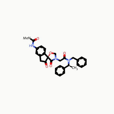 CNC(=O)Nc1ccc2c(c1)CC(=O)[C@]21OCN(CC(=O)N(Cc2ccccc2)[C@@H](C)c2ccccc2)C1=O